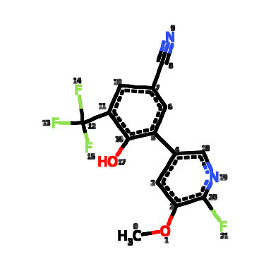 COc1cc(-c2cc(C#N)cc(C(F)(F)F)c2O)cnc1F